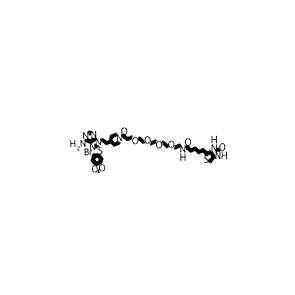 Nc1ncnc2c1nc(Sc1cc3c(cc1Br)OCO3)n2CCC1CCN(C(=O)CCOCCOCCOCCOCCNC(=O)CCCCC2SCC3NC(=O)NC32)CC1